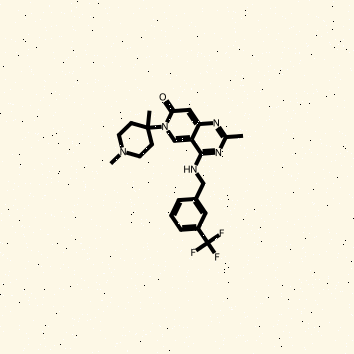 Cc1nc(NCc2cccc(C(F)(F)F)c2)c2cn(C3(C)CCN(C)CC3)c(=O)cc2n1